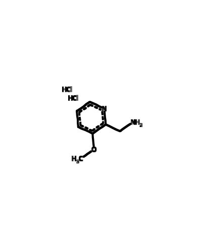 COc1cccnc1CN.Cl.Cl